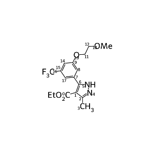 CCOC(=O)c1c(C)n[nH]c1-c1cc(OCCOC)cc(C(F)(F)F)c1